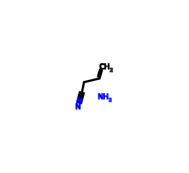 C=CCC#N.N